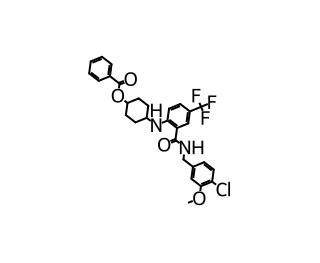 COc1cc(CNC(=O)c2cc(C(F)(F)F)ccc2NC2CCC(OC(=O)c3ccccc3)CC2)ccc1Cl